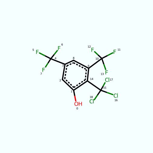 Oc1cc(C(F)(F)F)cc(C(F)(F)F)c1C(Cl)(Cl)Cl